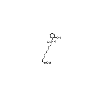 CCCCCCCC/C=C\CCCCCCCC(=O)Nc1ccccc1O